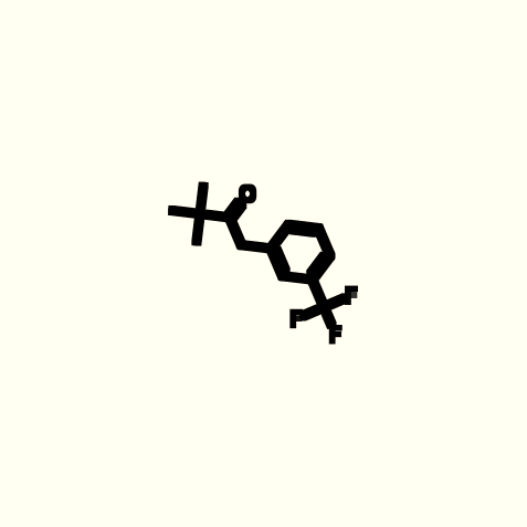 CC(C)(C)C(=O)Cc1cccc(C(F)(F)F)c1